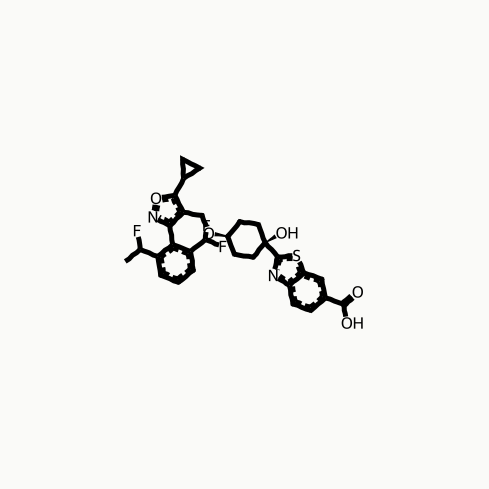 CC(F)c1cccc(C(F)F)c1-c1noc(C2CC2)c1CO[C@H]1CC[C@](O)(c2nc3ccc(C(=O)O)cc3s2)CC1